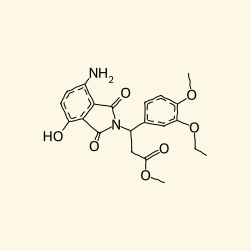 CCOc1cc(C(CC(=O)OC)N2C(=O)c3c(N)ccc(O)c3C2=O)ccc1OC